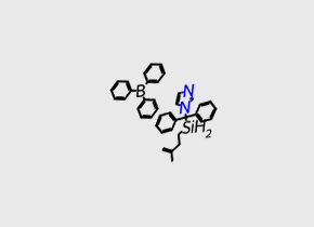 C=C(C)CC[SiH2]C(c1ccccc1)(c1ccccc1)n1ccnc1.c1ccc(B(c2ccccc2)c2ccccc2)cc1